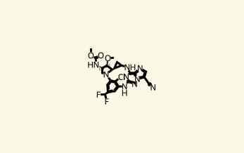 COC(=O)N[C@H]1CN(c2cc(C(F)F)cc(Nc3nc(NC4CC4)c4ncc(C#N)n4n3)c2Cl)C[C@@H]1OC